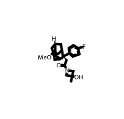 COC12CC3C[C@H](CC(C1)[C@@]3(CC(=O)N1CC(C)(O)C1)c1ccc(F)cc1)C2